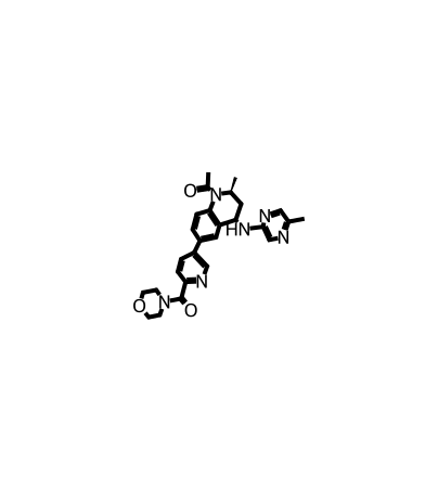 CC(=O)N1c2ccc(-c3ccc(C(=O)N4CCOCC4)nc3)cc2[C@H](Nc2cnc(C)cn2)C[C@@H]1C